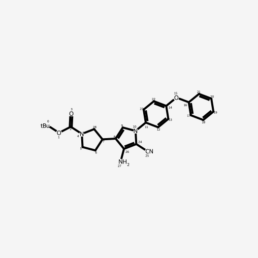 CC(C)(C)OC(=O)N1CCC(c2cn(-c3ccc(Oc4ccccc4)cc3)c(C#N)c2N)C1